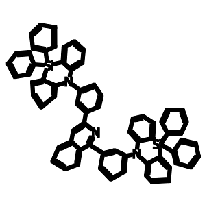 c1ccc([Si]2(c3ccccc3)c3ccccc3N(c3cccc(-c4cc5ccccc5c(-c5cccc(N6c7ccccc7[Si](c7ccccc7)(c7ccccc7)c7ccccc76)c5)n4)c3)c3ccccc32)cc1